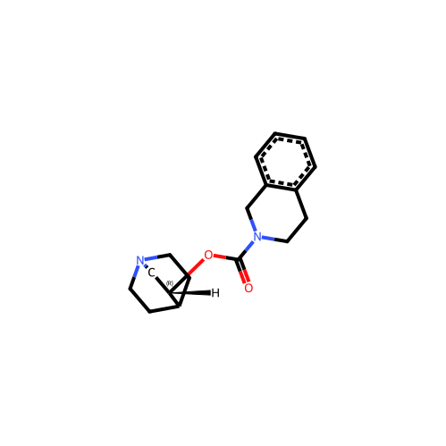 O=C(O[C@H]1CN2CCC1CC2)N1CCc2ccccc2C1